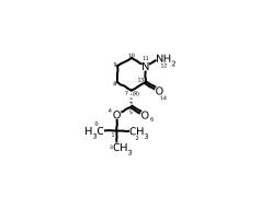 CC(C)(C)OC(=O)[C@@H]1CCCN(N)C1=O